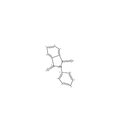 O=C1c2ccccc2C(=O)N1c1ccccc1